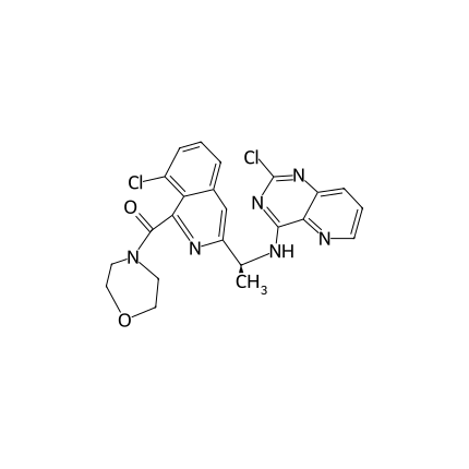 C[C@H](Nc1nc(Cl)nc2cccnc12)c1cc2cccc(Cl)c2c(C(=O)N2CCOCC2)n1